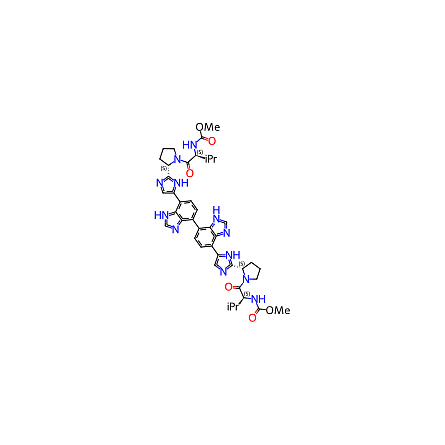 COC(=O)N[C@H](C(=O)N1CCC[C@H]1c1ncc(-c2ccc(-c3ccc(-c4cnc([C@@H]5CCCN5C(=O)[C@@H](NC(=O)OC)C(C)C)[nH]4)c4[nH]cnc34)c3[nH]cnc23)[nH]1)C(C)C